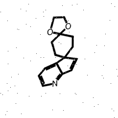 C1=CC2(CCC3(CC2)OCCO3)c2cccnc21